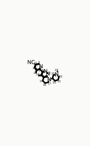 Cc1cc(C#N)cnc1-c1nnc2c(c1C)CCCN2[C@@H]1CCCN(C)C1